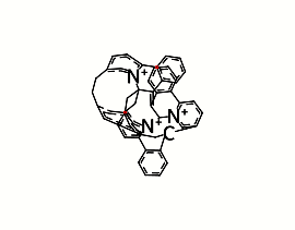 Cc1ccccc1-c1ccc2c[n+]1C1/C3=C4\c5ccccc5-c5ccc6c[n+]5C4(Cc4cc(cc(c4)CC6)CCc4ccc([n+]1c4)-c1ccccc13)C2